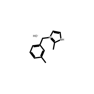 Cc1cccc(C[n+]2cc[nH]c2C)c1.[OH-]